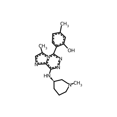 Cc1ccc(-c2nnc(N[C@@H]3CCCN(C)C3)c3ncc(C)n23)c(O)c1